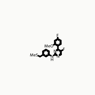 COc1cc(F)ccc1-c1nc(Nc2cccc(CSC)c2)ncc1F